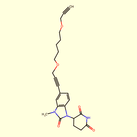 C#CCOCCCCCOCC#Cc1ccc2c(c1)n(C)c(=O)n2C1CCC(=O)NC1=O